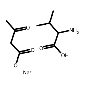 CC(=O)CC(=O)[O-].CC(C)C(N)C(=O)O.[Na+]